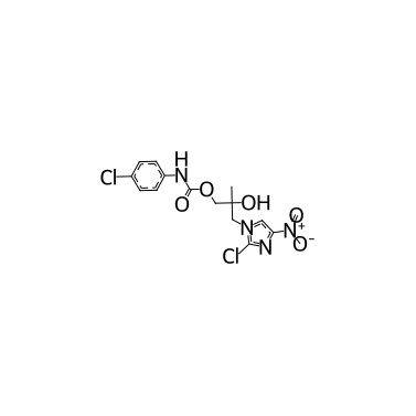 CC(O)(COC(=O)Nc1ccc(Cl)cc1)Cn1cc([N+](=O)[O-])nc1Cl